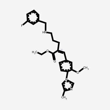 CCOC(=O)/C(=C\c1ccc(-n2cnc(C)c2)c(OC)c1)CCCNCc1cccc(F)c1